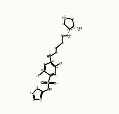 O=S(=O)(Nc1ncns1)c1cc(Cl)c(NCCCCN[C@@H]2CNC[C@@H]2O)cc1F